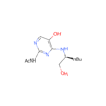 CCCC[C@@H](CO)Nc1nc(NC(C)=O)ncc1O